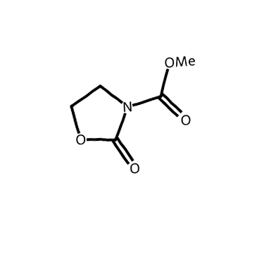 COC(=O)N1CCOC1=O